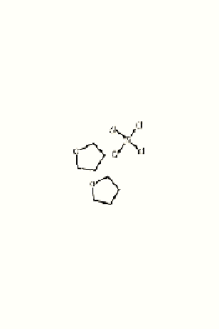 C1CCOC1.C1CCOC1.[Cl][Ti]([Cl])([Cl])[Cl]